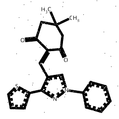 CC1(C)CC(=O)C(=Cc2cn(-c3ccccc3)nc2-c2cccs2)C(=O)C1